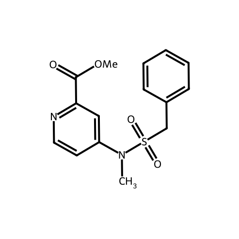 COC(=O)c1cc(N(C)S(=O)(=O)Cc2ccccc2)ccn1